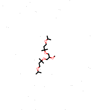 COC(COC(C)(C)CCOC(C)C)COC(C)(C)CCOC(C)C